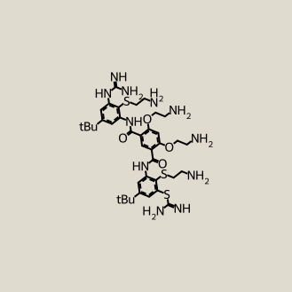 CC(C)(C)c1cc(NC(=N)N)c(SCCN)c(NC(=O)c2cc(C(=O)Nc3cc(C(C)(C)C)cc(SC(=N)N)c3SCCN)c(OCCN)cc2OCCN)c1